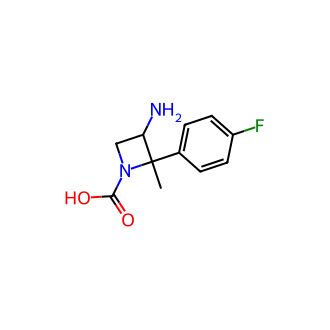 CC1(c2ccc(F)cc2)C(N)CN1C(=O)O